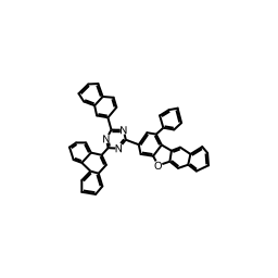 c1ccc(-c2cc(-c3nc(-c4ccc5ccccc5c4)nc(-c4cc5ccccc5c5ccccc45)n3)cc3oc4cc5ccccc5cc4c23)cc1